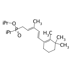 CC(C=CC1=C(C)C(C)(C)CCC1)=CCP(=O)(OC(C)C)C(C)C